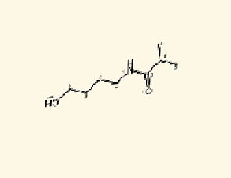 CC(C)C(=O)NCCCCO